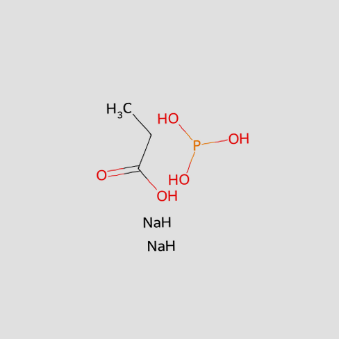 CCC(=O)O.OP(O)O.[NaH].[NaH]